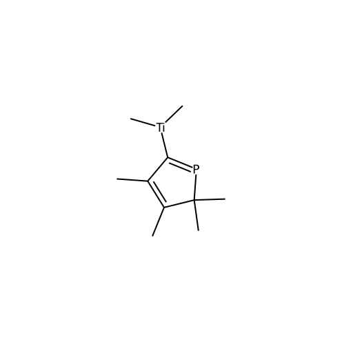 CC1=C(C)C(C)(C)P=[C]1[Ti]([CH3])[CH3]